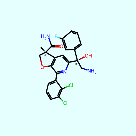 C[C@]1(C(N)=O)COc2c1cc([C@@](O)(CN)c1cccc(F)c1)nc2-c1cccc(Cl)c1Cl